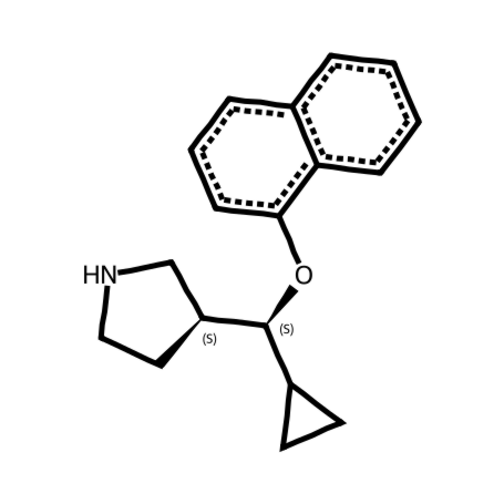 c1ccc2c(O[C@@H](C3CC3)[C@H]3CCNC3)cccc2c1